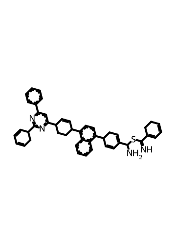 N=C(SC(N)C1=CCC(c2ccc(C3C=CC(c4cc(-c5ccccc5)nc(C5C=CC=CC5)n4)CC3)c3ccccc23)C=C1)C1=CC=CCC1